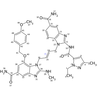 CCn1nc(C)cc1C(=O)Nc1nc2cc(C(N)=O)ccc2n1C/C=C/Cn1c(NC)nc2cc(C(N)=O)cc(OCc3ccc(OC)cc3)c21